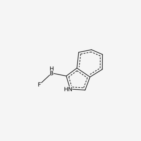 FBc1[nH]cc2ccccc12